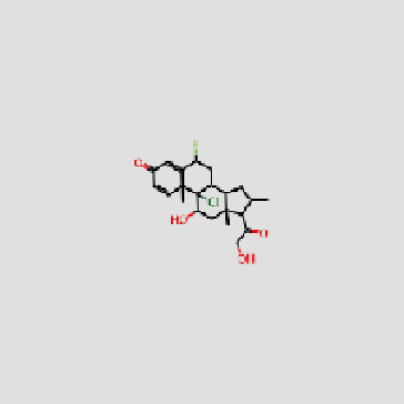 CC1CC2C3CC(F)C4=CC(=O)C=CC4(C)C3(Cl)C(O)CC2(C)C1C(=O)CO